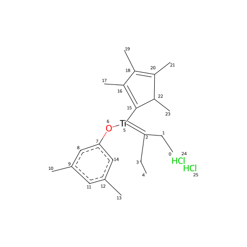 CC[C](CC)=[Ti]([O]c1cc(C)cc(C)c1)[C]1=C(C)C(C)=C(C)C1C.Cl.Cl